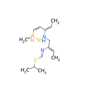 C=[PH](S)/C=C\C(=C/C)NCC(=C/C)/N=C/SC(C)C